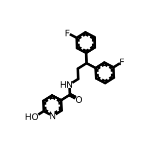 O=C(NCCC(c1cccc(F)c1)c1cccc(F)c1)c1ccc(O)nc1